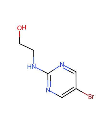 OCCNc1ncc(Br)cn1